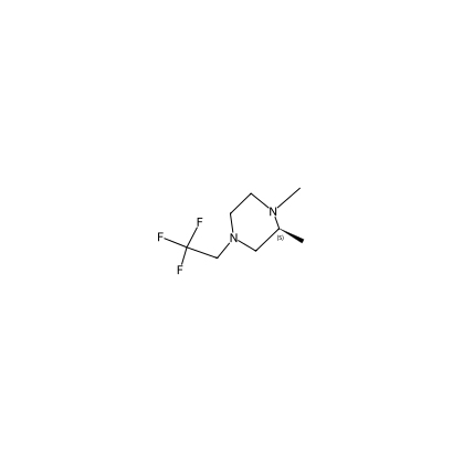 C[C@H]1CN(CC(F)(F)F)CCN1C